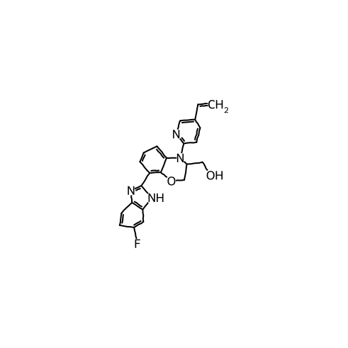 C=Cc1ccc(N2c3cccc(-c4nc5ccc(F)cc5[nH]4)c3OCC2CO)nc1